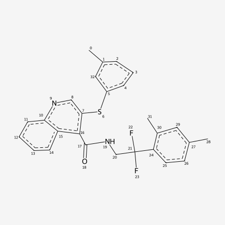 Cc1cccc(Sc2cnc3ccccc3c2C(=O)NCC(F)(F)c2ccc(C)cc2C)c1